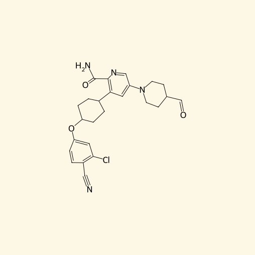 N#Cc1ccc(OC2CCC(c3cc(N4CCC(C=O)CC4)cnc3C(N)=O)CC2)cc1Cl